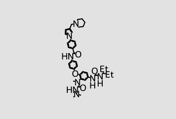 CCC(CC)NC(=O)Nc1ccc(Oc2ccc(NC(=O)c3ccc(-n4ccc(CN5CCCCC5)c4)cc3)cc2)c(N(C)C(=O)NN(C)C)c1